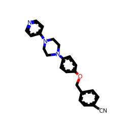 N#Cc1ccc(COc2ccc(N3CCN(c4ccncc4)CC3)cc2)cc1